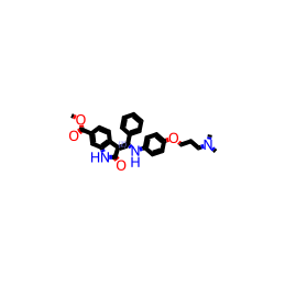 COC(=O)c1ccc2c(c1)NC(=O)/C2=C(\Nc1ccc(OCCCN(C)C)cc1)c1ccccc1